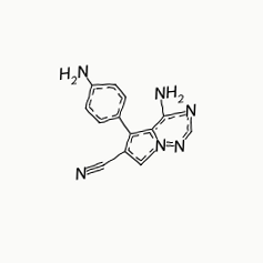 N#Cc1cn2ncnc(N)c2c1-c1ccc(N)cc1